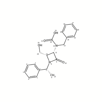 C[C@H](c1ccccc1)N1C(=O)[C@@H](N(Cc2ccccc2)C(=O)O)[C@H]1CO